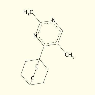 Cc1ncc(C)c(C23CCC(CC2)CC3)n1